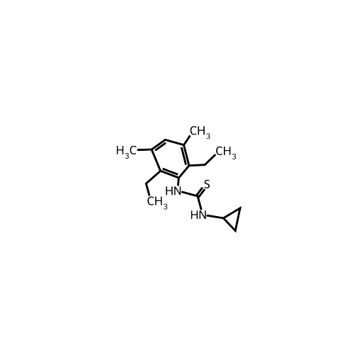 CCc1c(C)cc(C)c(CC)c1NC(=S)NC1CC1